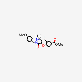 COC(=O)c1ccc(Oc2cc(C)nn(Cc3ccc(OC)cc3)c2=O)c(CF)c1